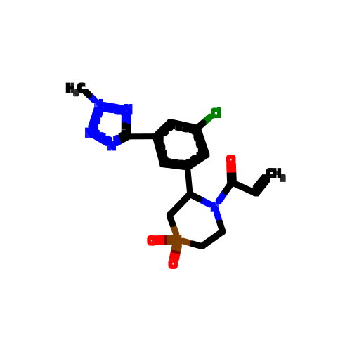 C=CC(=O)N1CCS(=O)(=O)CC1c1cc(Cl)cc(-c2nnn(C)n2)c1